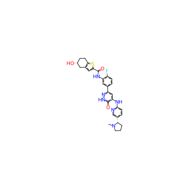 CN1CCC[C@H]1c1ccc(Nc2cc(-c3ccc(F)c(NC(=O)c4cc5c(s4)CC[C@@H](O)C5)c3)n[nH]c2=O)nc1